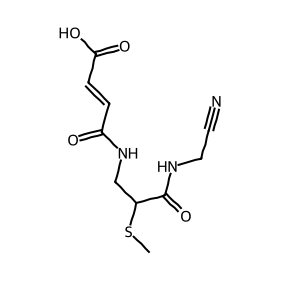 CSC(CNC(=O)C=CC(=O)O)C(=O)NCC#N